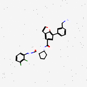 NCc1cccc(-c2cc(C(=O)N[C@H]3CCC[C@@H]3C(=O)NCc3cccc(Cl)c3F)cc3ccoc23)c1